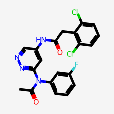 CC(=O)N(c1cccc(F)c1)c1cc(NC(=O)Cc2c(Cl)cccc2Cl)cnn1